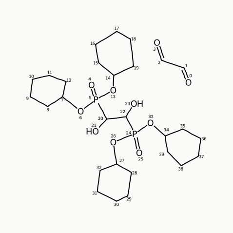 O=CC=O.O=P(OC1CCCCC1)(OC1CCCCC1)C(O)C(O)P(=O)(OC1CCCCC1)OC1CCCCC1